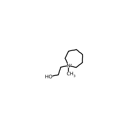 C[N+]1(CCO)CCCCCC1